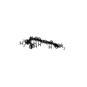 C=CC(=O)Nc1ccc(Cc2ccc(C(N)=O)c3[nH]c4c(c23)CCC(CN(C)CCCCNC(=O)CCCC(=O)NCCCOCCOCCOCCCNC(=O)CCCC[C@H]2C[C@@H](NC(N)=O)CS2)C4)cc1C